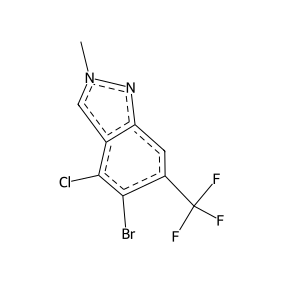 Cn1cc2c(Cl)c(Br)c(C(F)(F)F)cc2n1